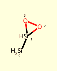 [SiH3][SiH]1OO1